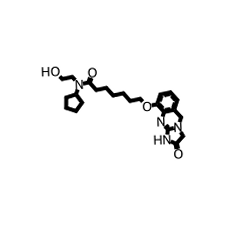 O=C1CN2Cc3cccc(OCCCCCCC(=O)N(CCO)C4CCCC4)c3N=C2N1